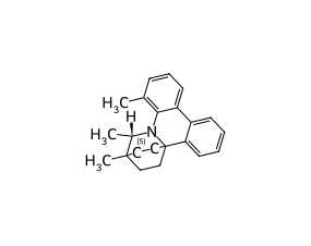 Cc1cccc2c1N1[C@@H](C)C3(C)CCC1(CC3)c1ccccc1-2